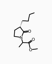 CCCC[C@H]1CCN(C(C)C(=O)OC)C1=O